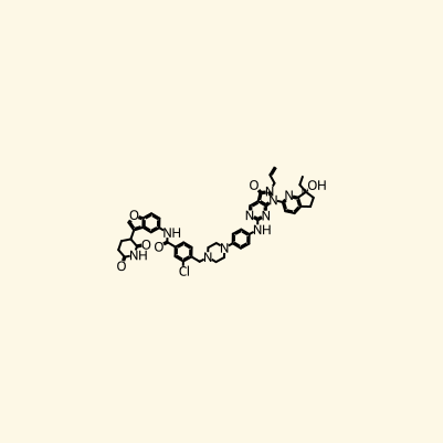 C=CCn1c(=O)c2cnc(Nc3ccc(N4CCN(Cc5ccc(C(=O)Nc6ccc7occ(C8CCC(=O)NC8=O)c7c6)cc5Cl)CC4)cc3)nc2n1-c1ccc2c(n1)[C@@](O)(CC)CC2